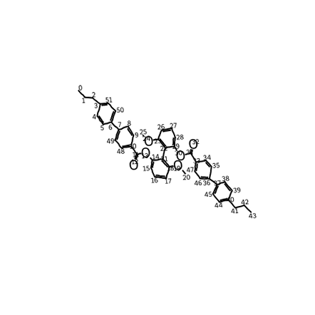 CCCc1ccc(-c2ccc(C(=O)Oc3cccc(OC)c3-c3c(OC)cccc3OC(=O)c3ccc(-c4ccc(CCC)cc4)cc3)cc2)cc1